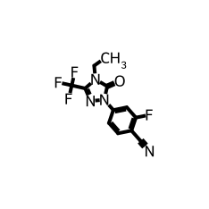 CCn1c(C(F)(F)F)nn(-c2ccc(C#N)c(F)c2)c1=O